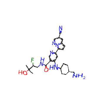 CC(C)(O)C(F)CNC(=O)c1cnc(-c2ccc3cc(C#N)cnn23)cc1NC1CCC(CN)CC1